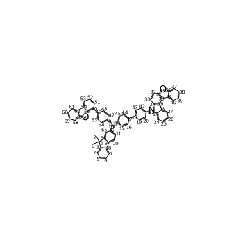 CC1(C)c2ccccc2-c2ccc(N(c3ccc(-c4ccc(-n5c6ccccc6c6c7c(ccc65)oc5ccccc57)cc4)cc3)c3ccc(-c4cccc5c4oc4ccccc45)cc3)cc21